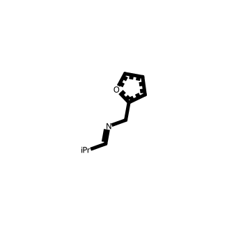 CC(C)C=NCc1ccco1